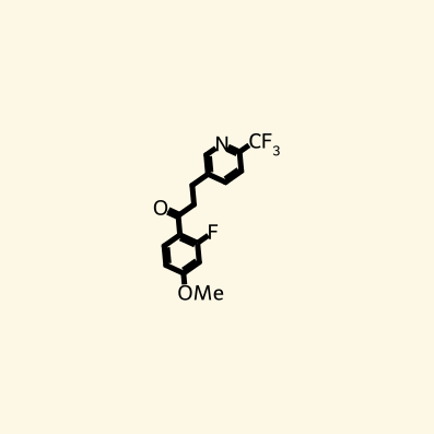 COc1ccc(C(=O)CCc2ccc(C(F)(F)F)nc2)c(F)c1